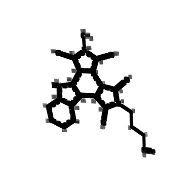 COCCCn1c(=O)c2c3c(=O)n(C)c(=O)c3c3[nH]c4ccccc4c3c2c1=O